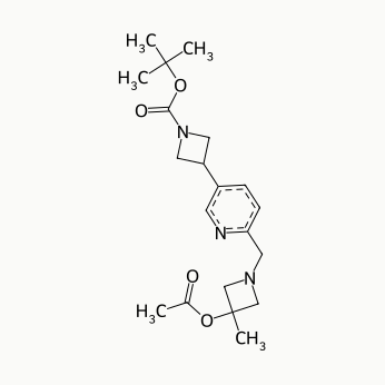 CC(=O)OC1(C)CN(Cc2ccc(C3CN(C(=O)OC(C)(C)C)C3)cn2)C1